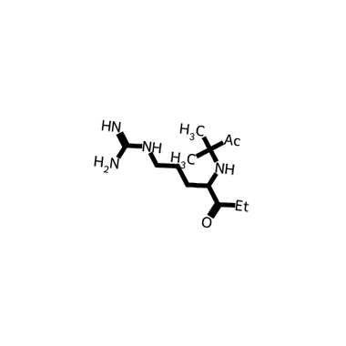 CCC(=O)C(CCCNC(=N)N)NC(C)(C)C(C)=O